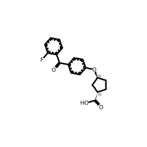 O=C(c1ccc(O[C@H]2CC[C@H](C(=O)O)C2)cc1)c1ccccc1F